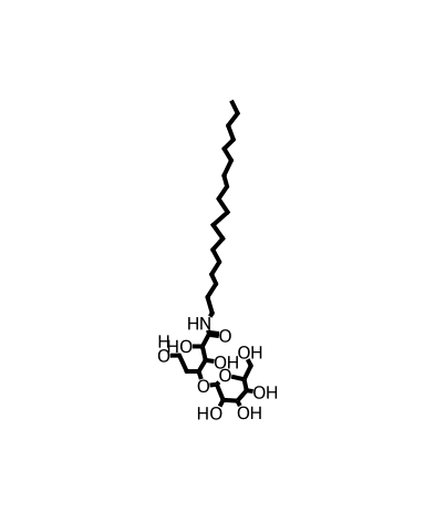 CCCCCCCCCCCCCCCCCCNC(=O)C(O)C(O)C(CCO)OC1OC(CO)C(O)C(O)C1O